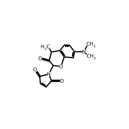 CC1C(=O)C(N2C(=O)C=CC2=O)Oc2cc(N(C)C)ccc21